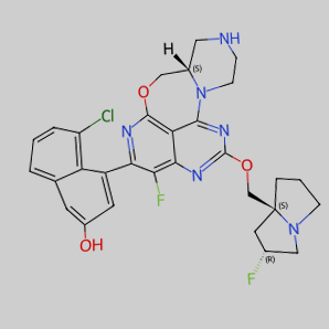 Oc1cc(-c2nc3c4c(nc(OC[C@@]56CCCN5C[C@H](F)C6)nc4c2F)N2CCNC[C@H]2CO3)c2c(Cl)cccc2c1